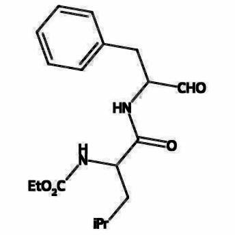 CCOC(=O)NC(CC(C)C)C(=O)NC(C=O)Cc1ccccc1